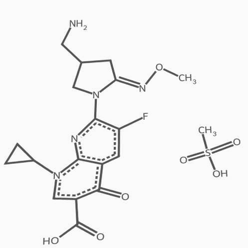 CON=C1CC(CN)CN1c1nc2c(cc1F)c(=O)c(C(=O)O)cn2C1CC1.CS(=O)(=O)O